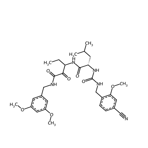 CCC(NC(=O)[C@H](CC(C)C)NC(=O)NCc1ccc(C#N)cc1OC)C(=O)C(=O)NCc1cc(OC)cc(OC)c1